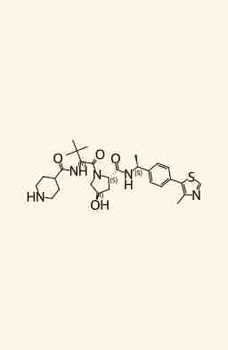 Cc1ncsc1-c1ccc([C@H](C)NC(=O)[C@@H]2C[C@@H](O)CN2C(=O)[C@H](NC(=O)C2CCNCC2)C(C)(C)C)cc1